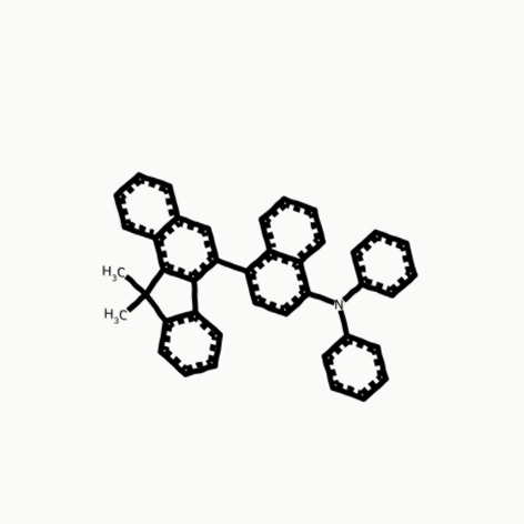 CC1(C)c2ccccc2-c2c(-c3ccc(N(c4ccccc4)c4ccccc4)c4ccccc34)cc3ccccc3c21